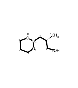 C[C@H](CO)CB1OCCCO1